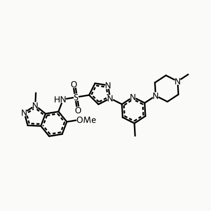 COc1ccc2cnn(C)c2c1NS(=O)(=O)c1cnn(-c2cc(C)cc(N3CCN(C)CC3)n2)c1